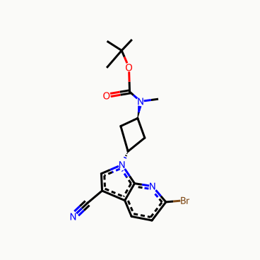 CN(C(=O)OC(C)(C)C)[C@H]1C[C@H](n2cc(C#N)c3ccc(Br)nc32)C1